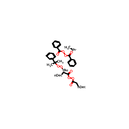 CC(C)(C)OOC(C)(C)c1ccccc1.CCCCCCCCCCCC(=O)OOC(=O)CCCCCCCCCCC.C[C](C)C.O=C(OOC(=O)c1ccccc1)c1ccccc1